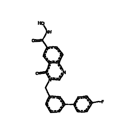 O=C(NO)c1ccc2ncn(Cc3cccc(-c4ccc(F)cc4)c3)c(=O)c2c1